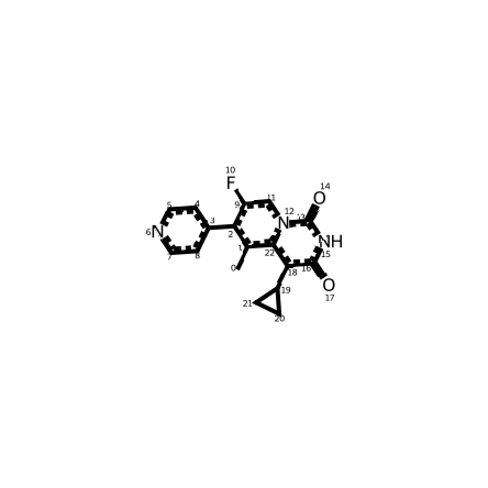 Cc1c(-c2ccncc2)c(F)cn2c(=O)[nH]c(=O)c(C3CC3)c12